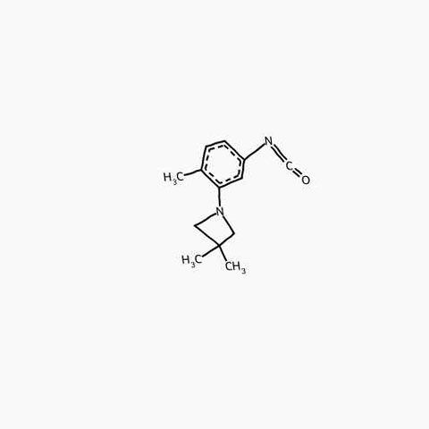 Cc1ccc(N=C=O)cc1N1CC(C)(C)C1